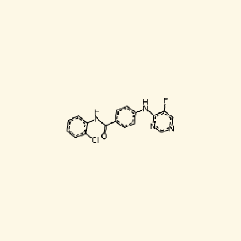 O=C(Nc1ccccc1Cl)c1ccc(Nc2ncncc2F)cc1